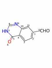 O=Cc1ccc2c(=O)[nH]cnc2c1